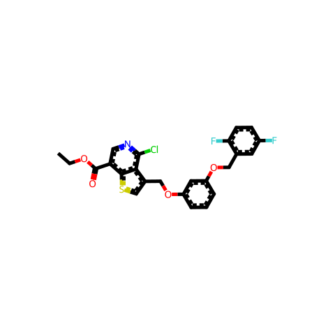 CCOC(=O)c1cnc(Cl)c2c(COc3cccc(OCc4cc(F)ccc4F)c3)csc12